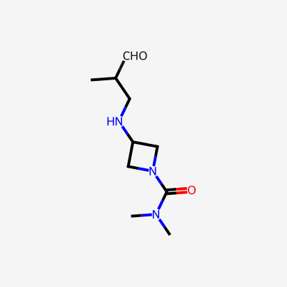 CC(C=O)CNC1CN(C(=O)N(C)C)C1